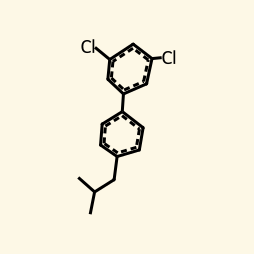 CC(C)Cc1ccc(-c2cc(Cl)cc(Cl)c2)cc1